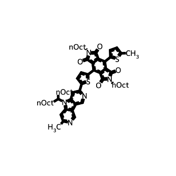 CCCCCCCCC(CCCCCCCC)n1c2cc(C)ncc2c2cnc(-c3ccc(-c4c5c(=O)n(CCCCCCCC)c(=O)c5c(-c5ccc(C)s5)c5c(=O)n(CCCCCCCC)c(=O)c45)s3)cc21